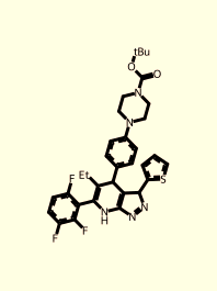 CCC1=C(c2c(F)ccc(F)c2F)NC2=C(C(c3cccs3)N=N2)C1c1ccc(N2CCN(C(=O)OC(C)(C)C)CC2)cc1